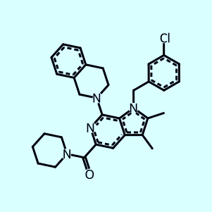 Cc1c(C)n(Cc2cccc(Cl)c2)c2c(N3CCc4ccccc4C3)nc(C(=O)N3CCCCC3)cc12